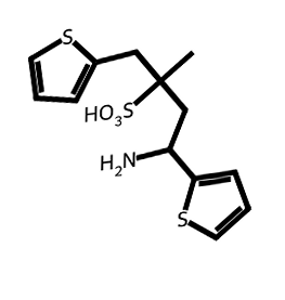 CC(Cc1cccs1)(CC(N)c1cccs1)S(=O)(=O)O